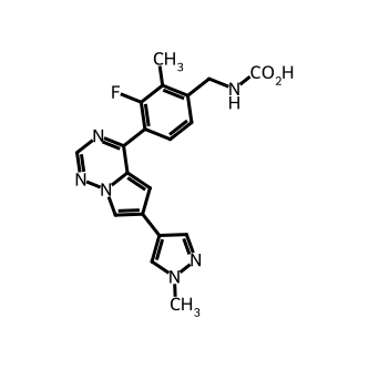 Cc1c(CNC(=O)O)ccc(-c2ncnn3cc(-c4cnn(C)c4)cc23)c1F